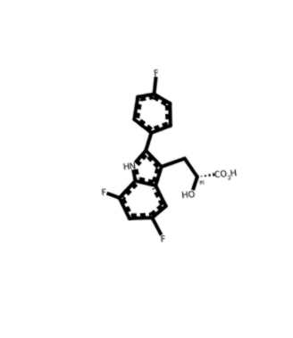 O=C(O)[C@H](O)Cc1c(-c2ccc(F)cc2)[nH]c2c(F)cc(F)cc12